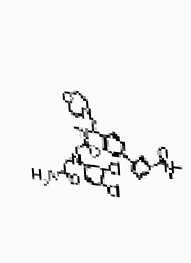 CN(C)C(=O)c1cccc(-c2ccc(C(CN3CCOCC3)N(C)C(=O)CN(CC(N)=O)c3ccc(Cl)c(Cl)c3)cc2)c1